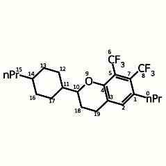 CCCc1cc2c(c(C(F)(F)F)c1C(F)(F)F)OC(C1CCC(CCC)CC1)CC2